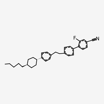 CCCCC[C@H]1CC[C@H](c2ccc(CCc3ccc(-c4ccc(C#N)cc4F)cc3)cc2)CC1